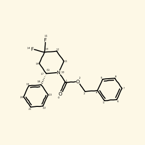 O=C(OCc1ccccc1)N1CCC(F)(F)C[C@H]1c1ccccc1